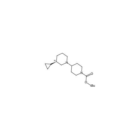 CC(C)(C)OC(=O)N1CCC(N2CCC[C@H](C3CC3)C2)CC1